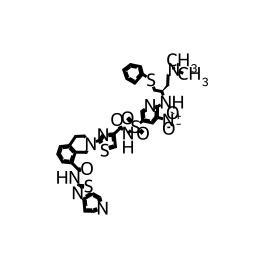 CN(C)CC[C@H](CSc1ccccc1)Nc1ncc(S(=O)(=O)NC(=O)c2csc(N3CCc4cccc(C(=O)Nc5nc6ccncc6s5)c4C3)n2)cc1[N+](=O)[O-]